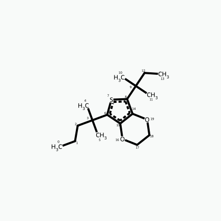 CCCC(C)(C)c1sc(C(C)(C)CC)c2c1OCCO2